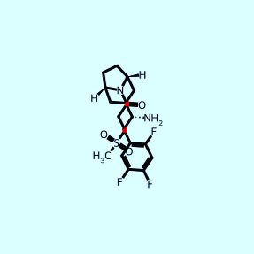 CS(=O)(=O)CCC(=O)N1[C@@H]2CC[C@H]1CC([C@H](N)Cc1cc(F)c(F)cc1F)C2